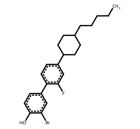 CCCCCC1CCC(c2ccc(-c3ccc(O)c(Br)c3)c(F)c2)CC1